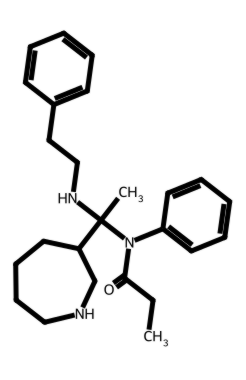 CCC(=O)N(c1ccccc1)C(C)(NCCc1ccccc1)C1CCCCNC1